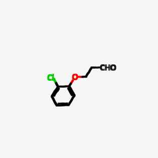 O=CCCOc1ccccc1Cl